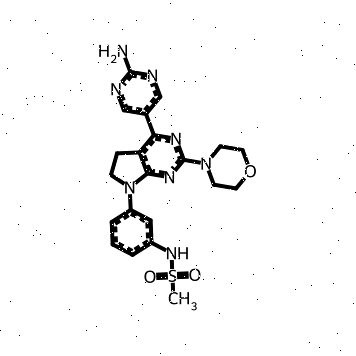 CS(=O)(=O)Nc1cccc(N2CCc3c(-c4cnc(N)nc4)nc(N4CCOCC4)nc32)c1